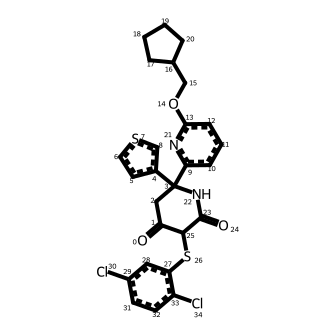 O=C1CC(c2ccsc2)(c2cccc(OCC3CCCC3)n2)NC(=O)C1Sc1cc(Cl)ccc1Cl